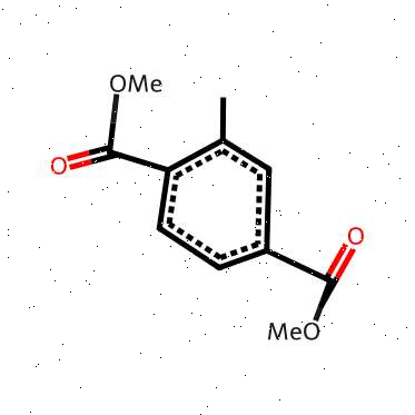 COC(=O)c1ccc(C(=O)OC)c(C)c1